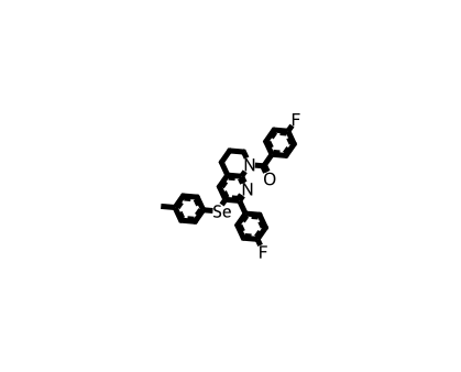 Cc1ccc([Se]c2cc3c(nc2-c2ccc(F)cc2)N(C(=O)c2ccc(F)cc2)CCC3)cc1